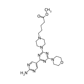 COC(=O)CCCCN1CCN(c2nc(-c3cnc(N)nc3)nc(N3CCOCC3)n2)CC1